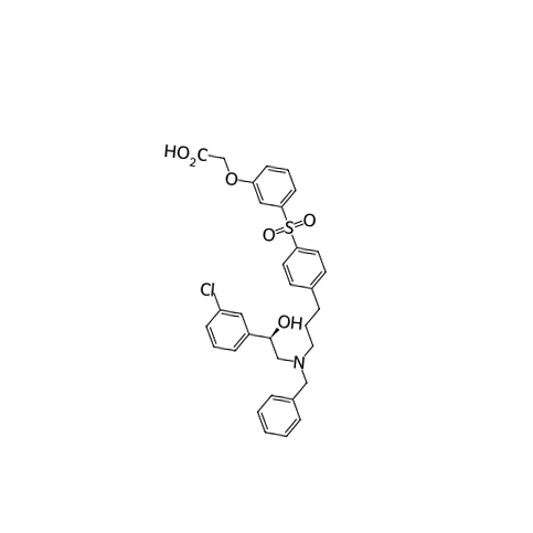 O=C(O)COc1cccc(S(=O)(=O)c2ccc(CCCN(Cc3ccccc3)C[C@H](O)c3cccc(Cl)c3)cc2)c1